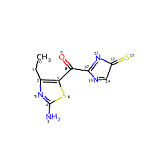 CCc1nc(N)sc1C(=O)C1=NC(=S)C=N1